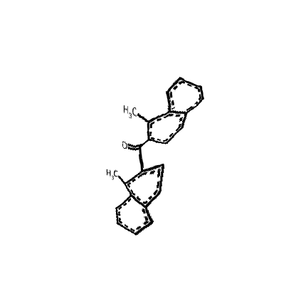 Cc1c(C(=O)c2ccc3ccccc3c2C)ccc2ccccc12